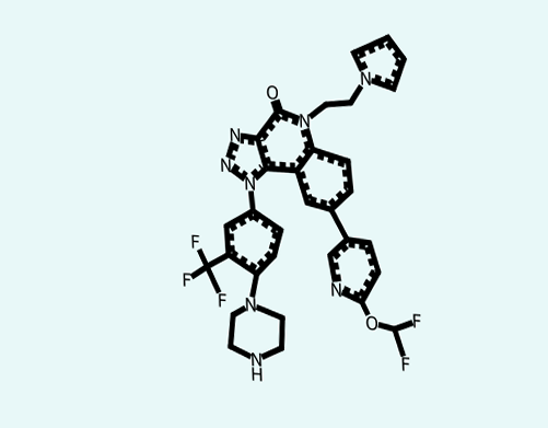 O=c1c2nnn(-c3ccc(N4CCNCC4)c(C(F)(F)F)c3)c2c2cc(-c3ccc(OC(F)F)nc3)ccc2n1CCn1cccc1